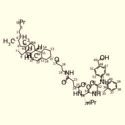 CC(C)CCC[C@@H](C)[C@H]1CC[C@H]2[C@@H]3CC=C4C[C@@H](OCCCNC(=O)CCC(=O)N[C@@H](CC(C)C)C(=O)N[C@@H](Cc5ccccc5)C(=O)Nc5ccc(CO)cc5)CC[C@]4(C)[C@H]3CC[C@]12C